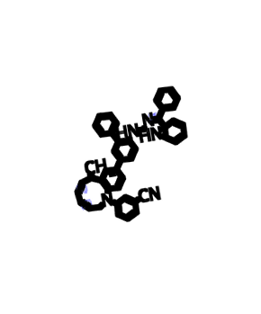 C=C1/C=C\C=C/CN(c2cccc(C#N)c2)c2ccc(-c3ccc(NC/N=C(/c4ccccc4)C45C=CC=CC4N5)c(-c4ccccc4)c3)cc21